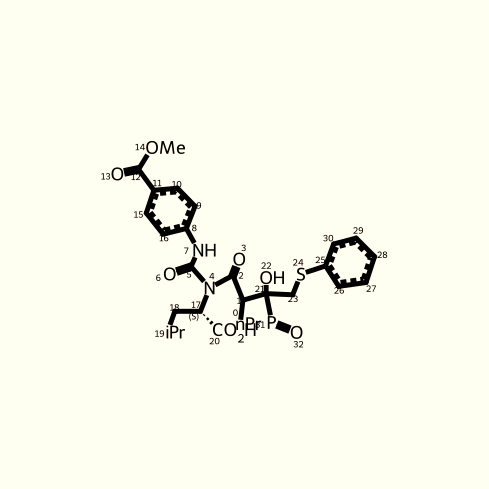 CCCC(C(=O)N(C(=O)Nc1ccc(C(=O)OC)cc1)[C@@H](CC(C)C)C(=O)O)C(O)(CSc1ccccc1)P=O